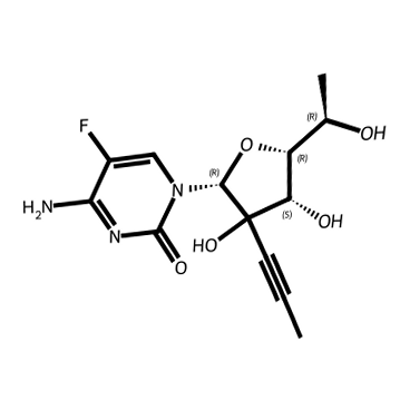 CC#CC1(O)[C@@H](O)[C@@H]([C@@H](C)O)O[C@H]1n1cc(F)c(N)nc1=O